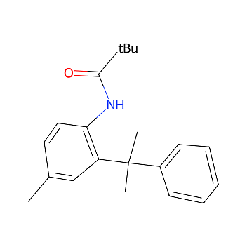 Cc1ccc(NC(=O)C(C)(C)C)c(C(C)(C)c2ccccc2)c1